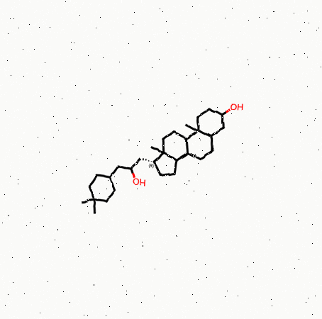 CC1(C)CCC(CC(O)C[C@H]2CCC3C4CCC5CC(O)CCC5(C)C4CCC32C)CC1